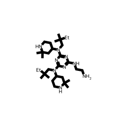 CCC(C)(C)CN(c1nc(NCCN)nc(N(CC(C)(C)CC)C2CCNC(C)(C)C2)n1)C1CCNC(C)(C)C1